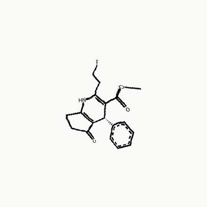 COC(=O)C1=C(CCF)NC2=C(C(=O)CC2)[C@H]1c1ccccc1